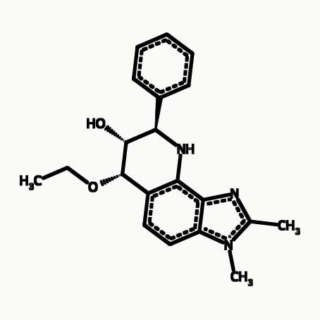 CCO[C@H]1c2ccc3c(nc(C)n3C)c2N[C@H](c2ccccc2)[C@H]1O